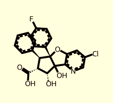 O=C(O)[C@H]1[C@@H](O)C2(O)c3ncc(Cl)cc3O[C@@]2(c2ccc(F)cc2)[C@@H]1c1ccccc1